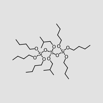 CCCCO[Si](OCCCC)(OCCCC)[O][Ti]([O]CC(C)C)([O]CC(C)C)[O][Si](OCCCC)(OCCCC)OCCCC